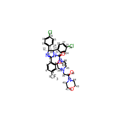 CCOc1cc(C(F)(F)F)ccc1C1=N[C@@](C)(c2ccc(Cl)cc2)[C@@](C)(c2ccc(Cl)cc2)N1C(=O)N1CCN(CC(=O)N2CCOCC2)CC1